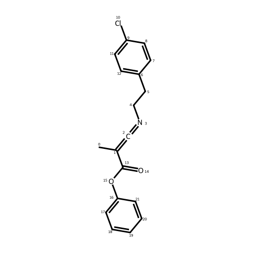 CC(=C=NCCc1ccc(Cl)cc1)C(=O)Oc1ccccc1